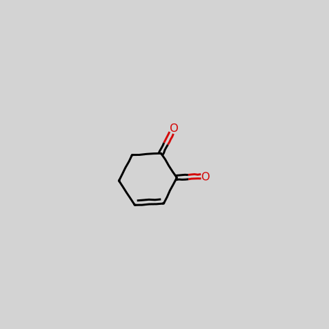 O=C1C=CCCC1=O